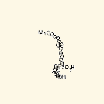 COc1ccc2cc(Oc3ccc(S(=O)(=O)c4ccc(COc5ccc6cc(Oc7ccc(S(=O)(=O)c8ccc(C)c(SOOO)c8)cc7S(=O)(=O)O)ccc6c5)cc4)cc3)ccc2c1